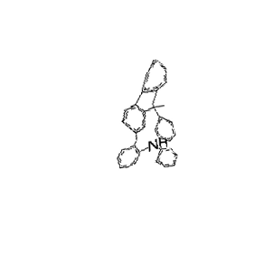 CC1(c2ccccc2)c2ccccc2-c2ccc(-c3ccccc3Nc3ccccc3)cc21